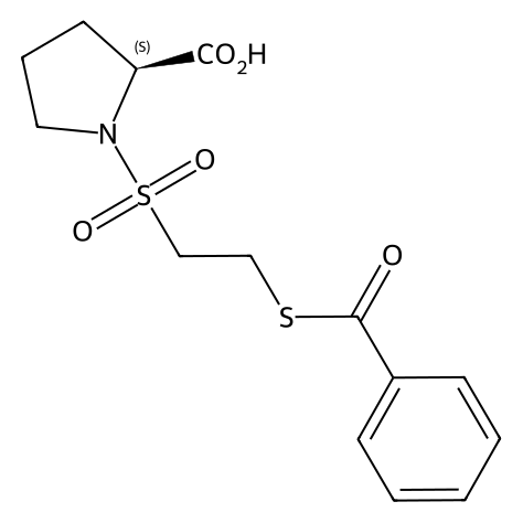 O=C(SCCS(=O)(=O)N1CCC[C@H]1C(=O)O)c1ccccc1